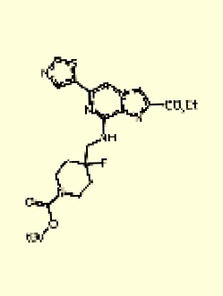 CCOC(=O)c1cn2cc(-c3cncs3)nc(NCC3(F)CCN(C(=O)OC(C)(C)C)CC3)c2n1